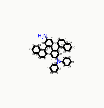 Nc1ccc(-c2ccc(N(c3ccccc3)c3ccccc3)cc2-c2cccc3ccccc23)c(-c2cccc3ccccc23)c1